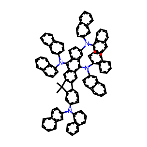 CC1(C)c2cc(N(c3ccc4ccccc4c3)c3cccc4ccccc34)ccc2-c2cc3c(N(c4ccc5ccccc5c4)c4cccc5ccccc45)c4cc(N(c5ccc6ccccc6c5)c5cccc6ccccc56)ccc4c(N(c4ccc5ccccc5c4)c4cccc5ccccc45)c3cc21